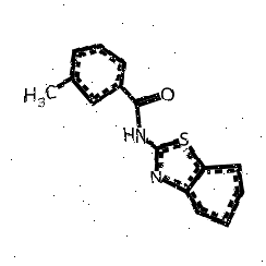 Cc1cccc(C(=O)Nc2nc3ccccc3s2)c1